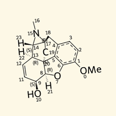 COc1ccc2c3c1O[C@H]1[C@@H](O)C=C[C@H]4[C@@H]5N(C)[C@]5(C2)C[C@@]341